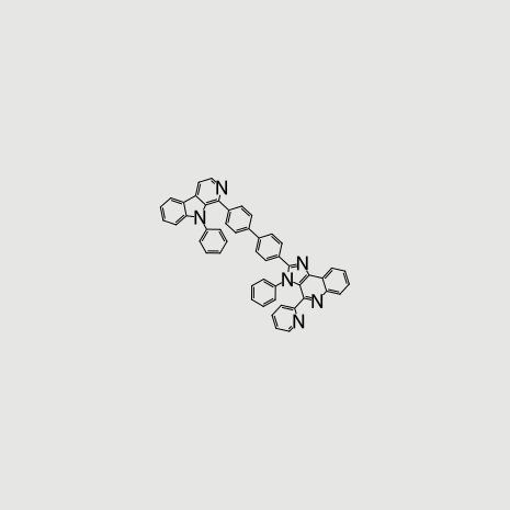 c1ccc(-n2c(-c3ccc(-c4ccc(-c5nccc6c7ccccc7n(-c7ccccc7)c56)cc4)cc3)nc3c4ccccc4nc(-c4ccccn4)c32)cc1